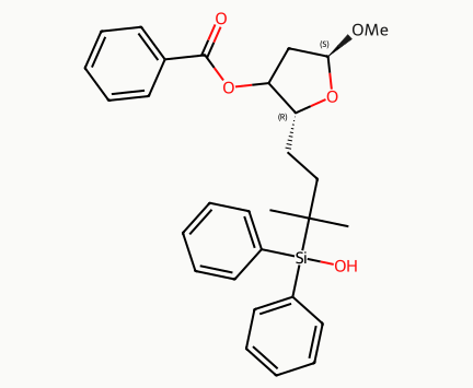 CO[C@@H]1CC(OC(=O)c2ccccc2)[C@@H](CCC(C)(C)[Si](O)(c2ccccc2)c2ccccc2)O1